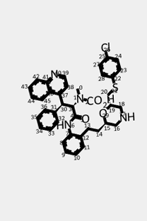 CN(C(=O)O)[C@H](C(=O)Nc1ccccc1CC[C@@H]1CNC[C@@H](CSc2ccc(Cl)cc2)O1)[C@@H](c1ccccc1)c1ccnc2ccccc12